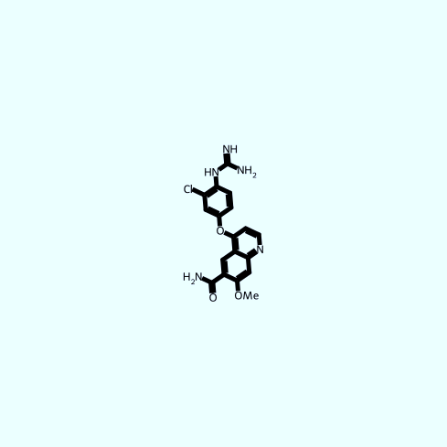 COc1cc2nccc(Oc3ccc(NC(=N)N)c(Cl)c3)c2cc1C(N)=O